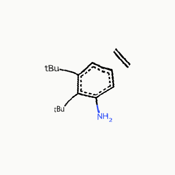 C=C.CC(C)(C)c1cccc(N)c1C(C)(C)C